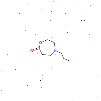 CCCN1CCOC(=O)CC1